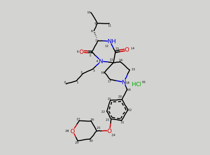 CCCCN1C(=O)[C@H](CC(C)C)NC(=O)C12CCN(Cc1ccc(OC3CCOCC3)cc1)CC2.Cl